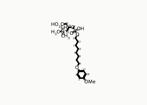 COc1ccc(OCCCCCCCCOP(=O)(O)O[C@H](CC(=O)O)C[N+](C)(C)C)cc1